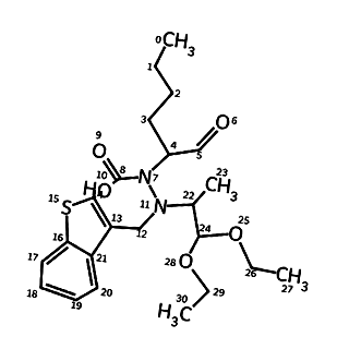 CCCCC(C=O)N(C(=O)O)N(Cc1csc2ccccc12)C(C)C(OCC)OCC